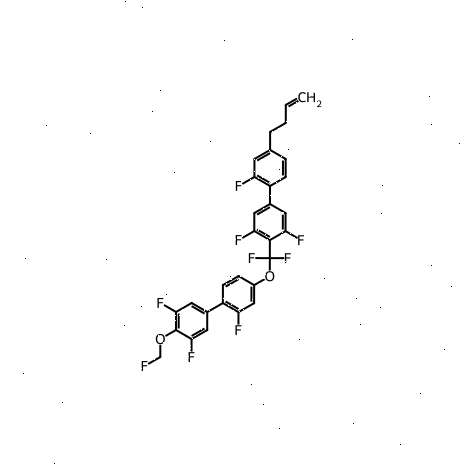 C=CCCc1ccc(-c2cc(F)c(C(F)(F)Oc3ccc(-c4cc(F)c(OCF)c(F)c4)c(F)c3)c(F)c2)c(F)c1